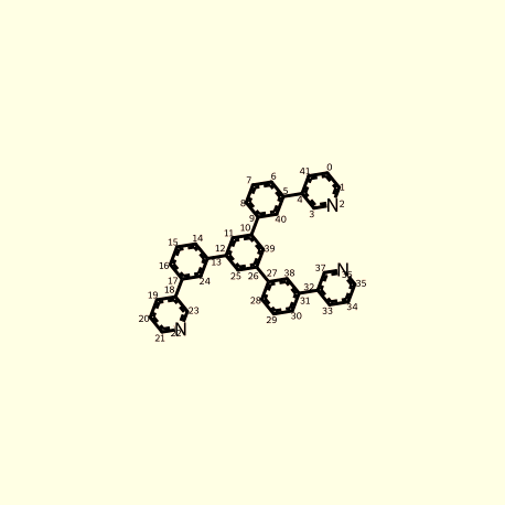 c1cncc(-c2cccc(-c3cc(-c4cccc(-c5cccnc5)c4)cc(-c4cccc(-c5cccnc5)c4)c3)c2)c1